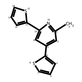 Cc1cc(-c2cccs2)cc(-c2cccs2)n1